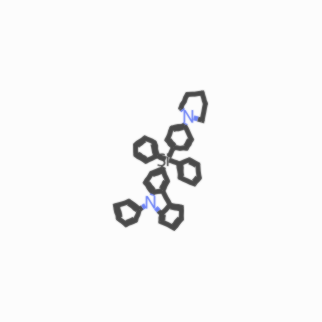 c1ccc(-n2c3ccccc3c3cc([Si](c4ccccc4)(c4ccccc4)c4ccc(N5CCCCC5)cc4)ccc32)cc1